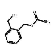 NC(=O)OCc1ccccc1CO